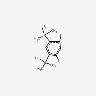 C[Si](C)(C)c1cc([Si](C)(C)C)c(F)cc1F